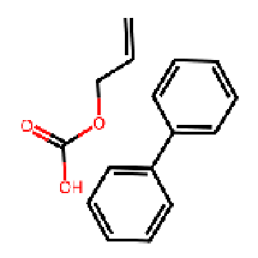 C=CCOC(=O)O.c1ccc(-c2ccccc2)cc1